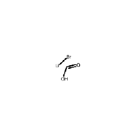 O=CO.[Li][Br]